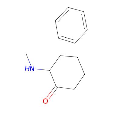 CNC1CCCCC1=O.c1ccccc1